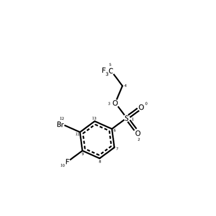 O=S(=O)(OCC(F)(F)F)c1ccc(F)c(Br)c1